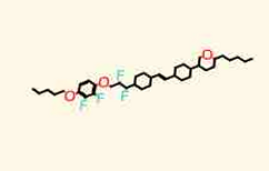 CCCCCOc1ccc(OCC(F)C(F)C2CCC(/C=C/C3CCC(C4CCC(CCCCC)OC4)CC3)CC2)c(F)c1F